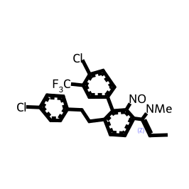 C/C=C(\NC)c1ccc(CCc2ccc(Cl)cc2)c(-c2ccc(Cl)c(C(F)(F)F)c2)c1N=O